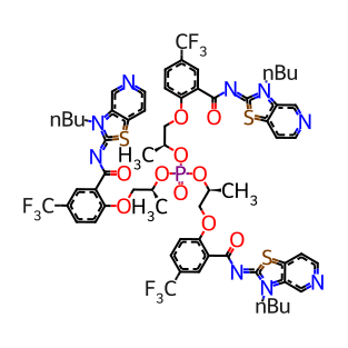 CCCCn1/c(=N/C(=O)c2cc(C(F)(F)F)ccc2OC[C@H](C)OP(=O)(O[C@@H](C)COc2ccc(C(F)(F)F)cc2C(=O)/N=c2\sc3ccncc3n2CCCC)O[C@@H](C)COc2ccc(C(F)(F)F)cc2C(=O)/N=c2\sc3ccncc3n2CCCC)sc2ccncc21